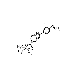 COc1ccc(-c2cc3n(n2)CCN(C(=O)OC(C)(C)C)C3)cc1Cl